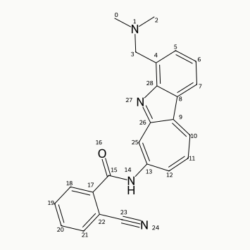 CN(C)Cc1cccc2c3cccc(NC(=O)c4ccccc4C#N)cc-3nc12